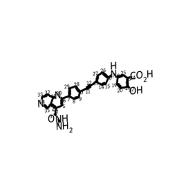 NNC(=O)c1cc(-c2ccc(C#Cc3ccc(Nc4ccc(O)c(C(=O)O)c4)cc3)cc2)nc2ccncc12